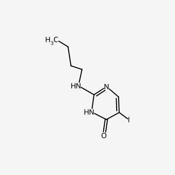 CCCCNc1ncc(I)c(=O)[nH]1